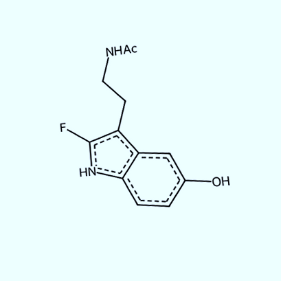 CC(=O)NCCc1c(F)[nH]c2ccc(O)cc12